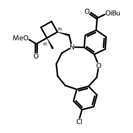 COC(=O)[C@]1(C)CC[C@H]1CN1CCCCc2cc(Cl)ccc2COc2ccc(C(=O)OCC(C)C)cc21